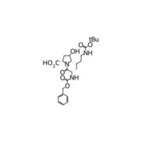 CC(C)(C)OC(=O)NCCCC[C@H](NC(=O)OCc1ccccc1)C(=O)N1C[C@H](O)C[C@H]1C(=O)O